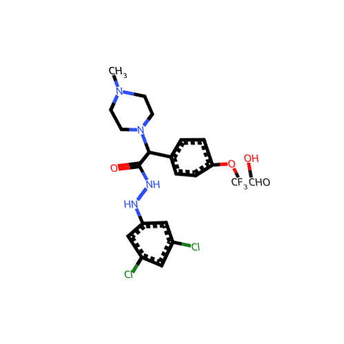 CN1CCN(C(C(=O)NNc2cc(Cl)cc(Cl)c2)c2ccc(OC(F)(F)F)cc2)CC1.O=CO